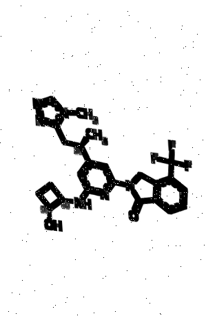 C[C@H](Cc1nncn1C)c1cc(N[C@H]2CC[C@H]2O)nc(N2Cc3c(cccc3C(F)(F)F)C2=O)c1